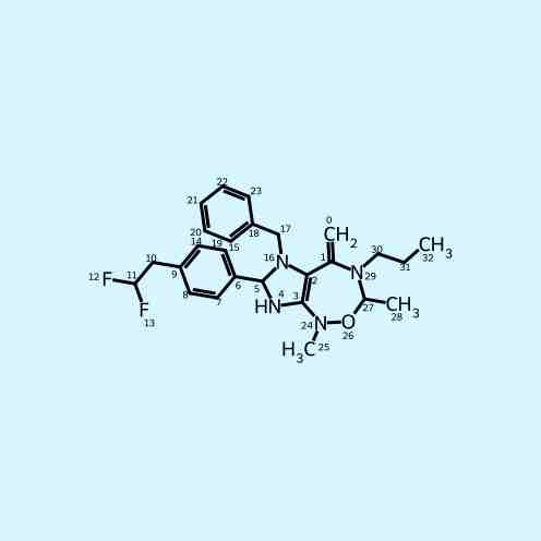 C=C1C2=C(NC(c3ccc(CC(F)F)cc3)N2Cc2ccccc2)N(C)OC(C)N1CCC